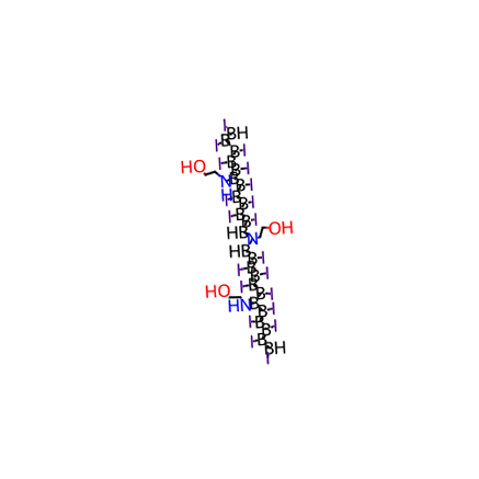 OCCNB(B(I)B(I)B(I)B(I)BI)B(I)B(I)B(I)B(I)B(I)BN(BB(I)B(I)B(I)B(I)B(I)B(NCCO)B(I)B(I)B(I)B(I)BI)CCO